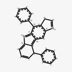 C1=CC(c2ccccc2)C2=c3cc4c(c(-c5ccccc5)c3=NC2=C1)CC=N4